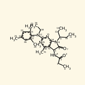 CCC(=O)NC1C(=O)N(C(CC)CC)c2nc(N(CC)c3c(C)cc(C)cc3C)nc(C)c21